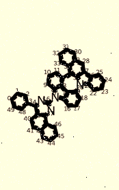 c1ccc(-c2nc(-n3c4cccc5c4c4c3cccc4n3c4ccccc4c4cc6ccccc6c5c43)nc3c2ccc2ccccc23)cc1